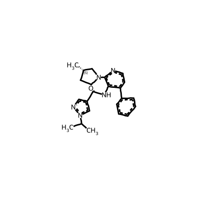 CC(C)n1cc(C(=O)Nc2c(-c3ccccc3)ccnc2N2CC[C@H](C)C2)cn1